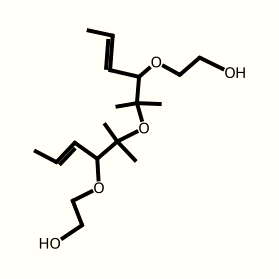 CC=CC(OCCO)C(C)(C)OC(C)(C)C(C=CC)OCCO